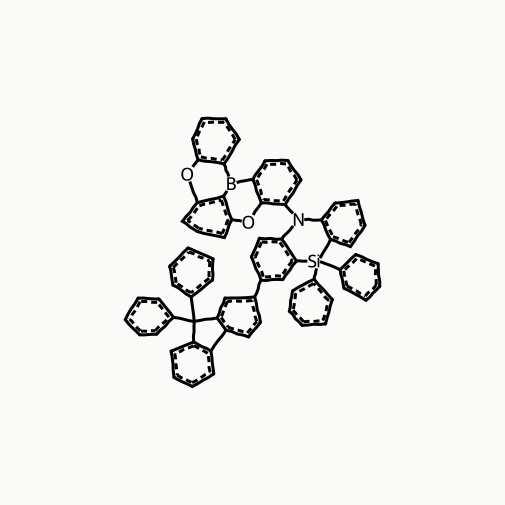 c1ccc(C2(c3ccccc3)c3ccccc3-c3ccc(-c4ccc5c(c4)[Si](c4ccccc4)(c4ccccc4)c4ccccc4N5c4cccc5c4Oc4cccc6c4B5c4ccccc4O6)cc32)cc1